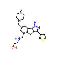 CN1CCN(Cc2cc(CNCCO)c3c(c2)-c2[nH]nc(-c4ccsc4)c2C3)CC1